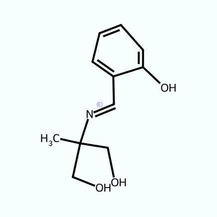 CC(CO)(CO)/N=C/c1ccccc1O